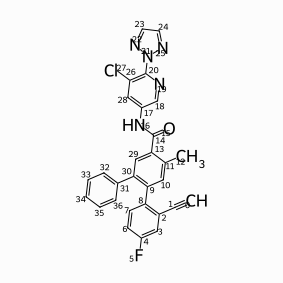 C#Cc1cc(F)ccc1-c1cc(C)c(C(=O)Nc2cnc(-n3nccn3)c(Cl)c2)cc1-c1ccccc1